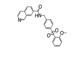 COc1ccccc1S(=O)(=O)c1ccc(CNC(=O)c2ccc3ccncc3c2)cc1